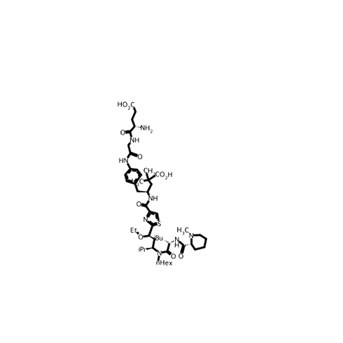 CCCCCCN(C(=O)[C@@H](NC(=O)[C@H]1CCCCN1C)[C@@H](C)CC)[C@H](C[C@@H](OCC)c1nc(C(=O)N[C@@H](Cc2ccc(NC(=O)CNC(=O)[C@@H](N)CCC(=O)O)cc2)CC(C)(C)C(=O)O)cs1)C(C)C